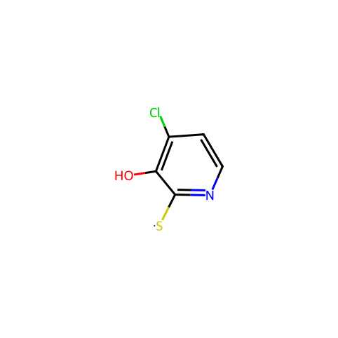 Oc1c(Cl)ccnc1[S]